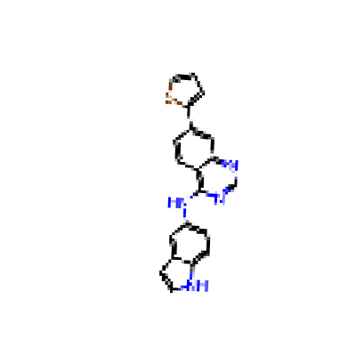 c1csc(-c2ccc3c(Nc4ccc5[nH]ccc5c4)ncnc3c2)c1